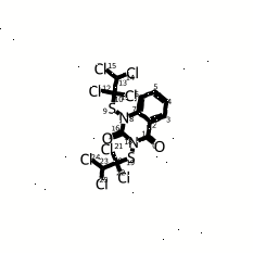 O=c1c2ccccc2n(SC(Cl)(Cl)C(Cl)Cl)c(=O)n1SC(Cl)(Cl)C(Cl)Cl